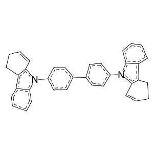 C1=Cc2c(c3ccccc3n2-c2ccc(-c3ccc(-n4c5c(c6ccccc64)CCC=C5)cc3)cc2)CC1